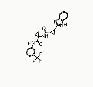 O=C(NC1(C(=O)Nc2cccc(C(F)(F)F)c2)CC1)[C@H]1C[C@@H]1c1nc2ccccc2[nH]1